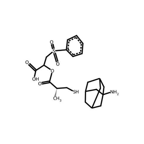 C[C@@H](CS)C(=O)OC(CS(=O)(=O)c1ccccc1)C(=O)O.NC12CC3CC(CC(C3)C1)C2